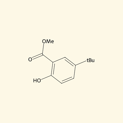 COC(=O)c1cc(C(C)(C)C)ccc1O